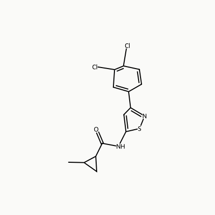 CC1CC1C(=O)Nc1cc(-c2ccc(Cl)c(Cl)c2)ns1